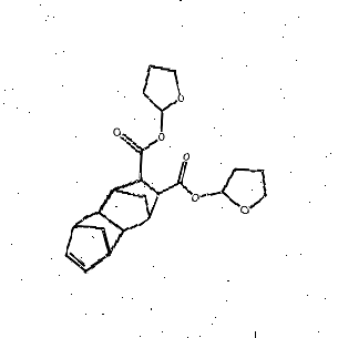 O=C(OC1CCCO1)C1C2CC(C1C(=O)OC1CCCO1)C1C3C=CC(C3)C21